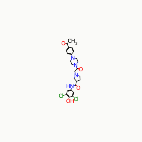 CC(=O)c1ccc(N2CCN(C(=O)CN3CC[C@@H](C(=O)Nc4cc(Cl)c(O)c(Cl)c4)C3)CC2)cc1